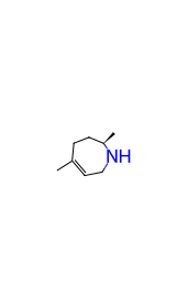 CC1=CCN[C@H](C)CC1